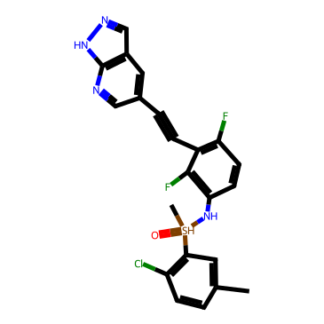 Cc1ccc(Cl)c([SH](C)(=O)Nc2ccc(F)c(C#Cc3cnc4[nH]ncc4c3)c2F)c1